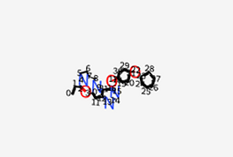 C=CC(=O)N1CC[C@H]1Cn1ccc2ncnc(Oc3ccc(Oc4ccccc4)cc3)c21